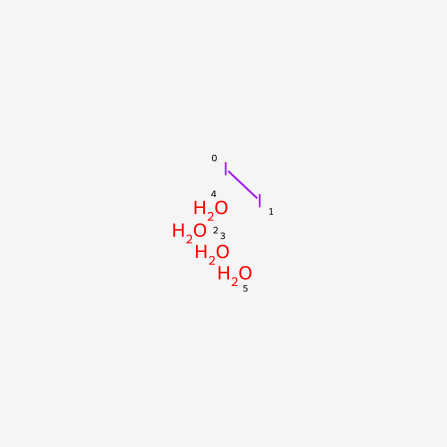 II.O.O.O.O